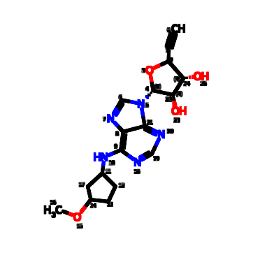 C#CC1O[C@@H](n2cnc3c(NC4CCC(OC)C4)ncnc32)[C@H](O)[C@H]1O